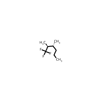 CCC[C@@H](C)[C@H](C)C(F)(F)F